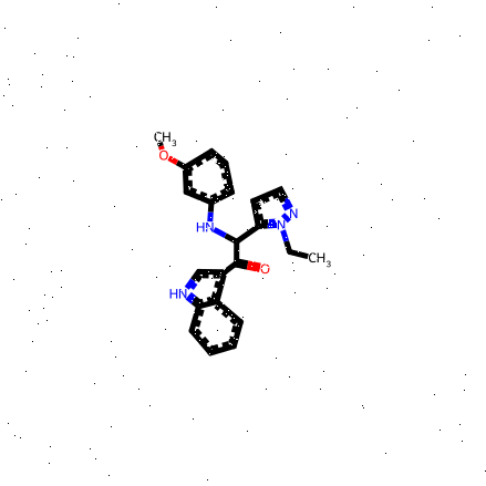 CCn1nccc1C(Nc1cccc(OC)c1)C(=O)c1c[nH]c2ccccc12